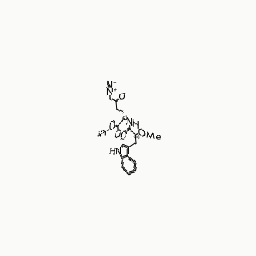 CO[C@@H](Cc1c[nH]c2ccccc12)C(=O)N[C@@H](CCC(=O)C=[N+]=[N-])C(=O)OC(C)C